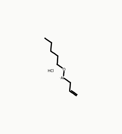 C=C[CH2][Al][O]CCCCC.Cl